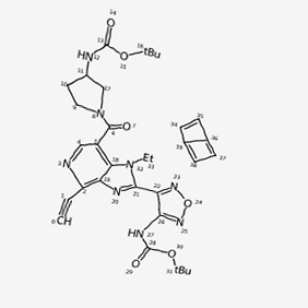 C#Cc1ncc(C(=O)N2CCC(NC(=O)OC(C)(C)C)C2)c2c1nc(-c1nonc1NC(=O)OC(C)(C)C)n2CC.c1cc2ccc1-2